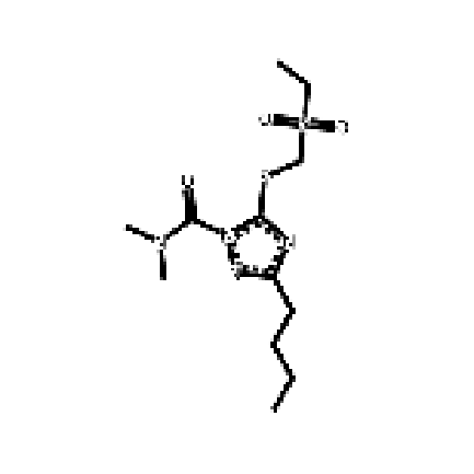 CCCCc1nc(SCS(=O)(=O)CC)n(C(=O)N(C)C)n1